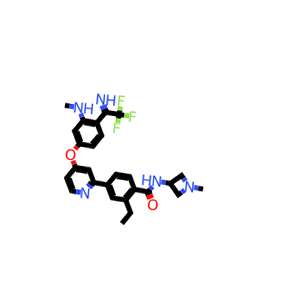 CCc1cc(-c2cc(Oc3ccc(C(=N)C(F)(F)F)c(NC)c3)ccn2)ccc1C(=O)NC1CN(C)C1